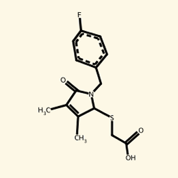 CC1=C(C)C(SCC(=O)O)N(Cc2ccc(F)cc2)C1=O